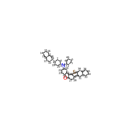 c1ccc(N(c2ccc(-c3ccc4ccccc4c3)cc2)c2ccc3oc4ccc5c6cc7ccccc7cc6sc5c4c3c2)cc1